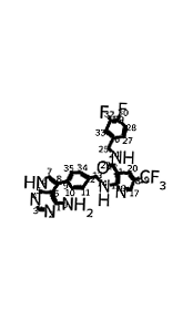 Nc1ncnc2[nH]cc(-c3ccc(CNc4ncc(C(F)(F)F)cc4C(=O)NCc4ccc(F)c(F)c4)cc3)c12